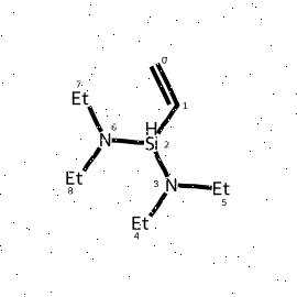 C=C[SiH](N(CC)CC)N(CC)CC